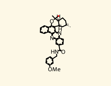 COc1cccc(CNC(=O)c2ccc3nc4c5c(c6ccccc6c4nc3c2)OC(C)(C)[C@H]2CC[C@H](C)C[C@H]52)c1